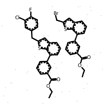 CCOC(=O)c1cccc(-c2cccc3cc(CBr)sc23)c1.CCOC(=O)c1cccc(-c2cccc3cc(Cc4ccc(F)c(Cl)c4)sc23)c1